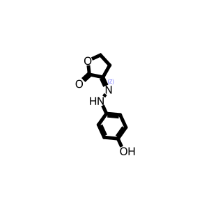 O=C1OCC/C1=N/Nc1ccc(O)cc1